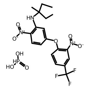 CCC(C)(CC)Nc1cc(Oc2ccc(C(F)(F)F)cc2[N+](=O)[O-])ccc1[N+](=O)[O-].O=[PH](O)O